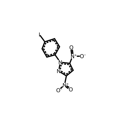 O=[N+]([O-])c1cc([N+](=O)[O-])n(-c2ccc(I)cc2)n1